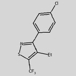 CCc1c(-c2ccc(Cl)cc2)nsc1C(F)(F)F